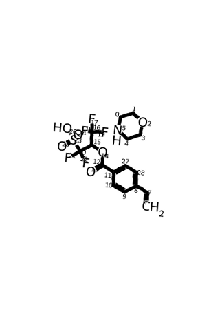 C1COCCN1.C=Cc1ccc(C(=O)OC(C(F)(F)F)C(F)(F)S(=O)(=O)O)cc1